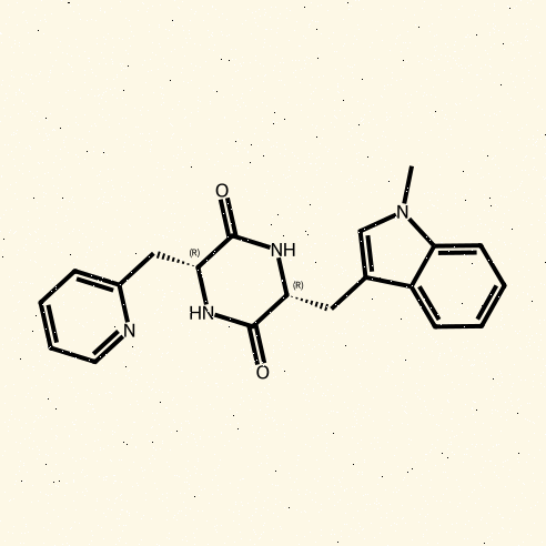 Cn1cc(C[C@H]2NC(=O)[C@@H](Cc3ccccn3)NC2=O)c2ccccc21